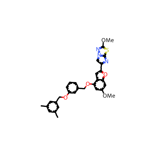 COc1cc(OCc2cccc(OCc3cc(C)cc(C)c3)c2)c2cc(-c3cn4nc(OC)sc4n3)oc2c1